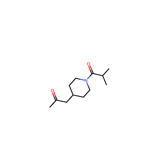 CC(=O)CC1CCN(C(=O)C(C)C)CC1